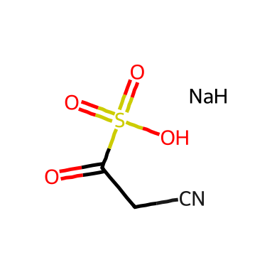 N#CCC(=O)S(=O)(=O)O.[NaH]